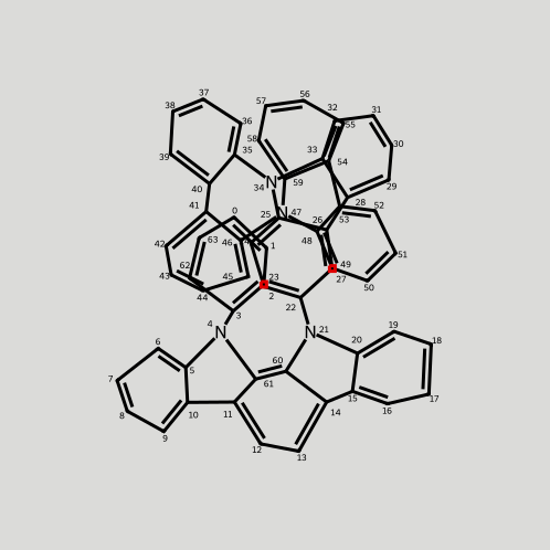 c1ccc(-n2c3ccccc3c3ccc4c5ccccc5n(-c5ccc6c(c5)c5ccccc5n6-c5ccccc5-c5ccccc5-n5c6ccccc6c6ccccc65)c4c32)cc1